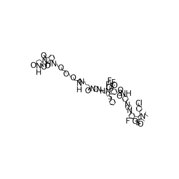 Cc1c(S(C)(=O)=O)c(-c2cc(F)cc(N3CCN(c4ccc(NS(=O)(=O)c5ccc(N[C@H](CCN6CCN(C(=O)CCCn7cc(COCCOCCOCCNc8cccc9c8C(=O)N(C8CCC(=O)NC8=O)C9=O)[nH]7)CC6)CSc6ccccc6)c(S(=O)(=O)C(F)(F)F)c5)cc4)CC3)c2)c(-c2ccc(Cl)cc2)n1C(C)C